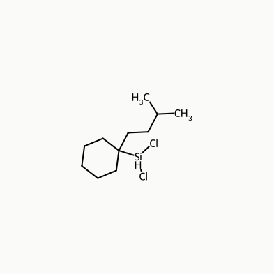 CC(C)CCC1([SiH](Cl)Cl)CCCCC1